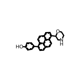 Oc1ccc(-c2ccc3ccc4c(C5CNCCO5)ccc5ccc2c3c54)cc1